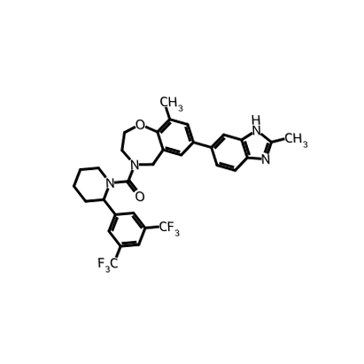 Cc1nc2ccc(-c3cc(C)c4c(c3)CN(C(=O)N3CCCCC3c3cc(C(F)(F)F)cc(C(F)(F)F)c3)CCO4)cc2[nH]1